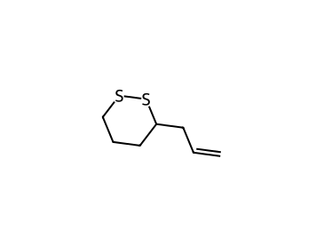 C=CCC1CCCSS1